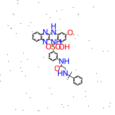 COc1cc(O)cc(Nc2nc3ccccc3nc2NS(=O)(=O)c2cccc(NC(=O)CNC(C)(C)c3ccccc3)c2)c1